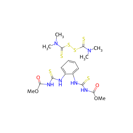 CN(C)C(=S)SSC(=S)N(C)C.COC(=O)NC(=S)Nc1ccccc1NC(=S)NC(=O)OC